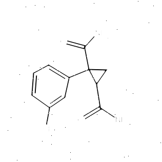 NC(=O)C1CC1(C(N)=O)c1cccc(Cl)c1